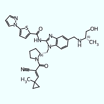 C[C@@H](CO)NCc1ccc2c(c1)nc(NC(=O)c1ccc(-n3cccn3)s1)n2C[C@H]1CCCN1C(=O)C(C#N)=CC1(C)CC1